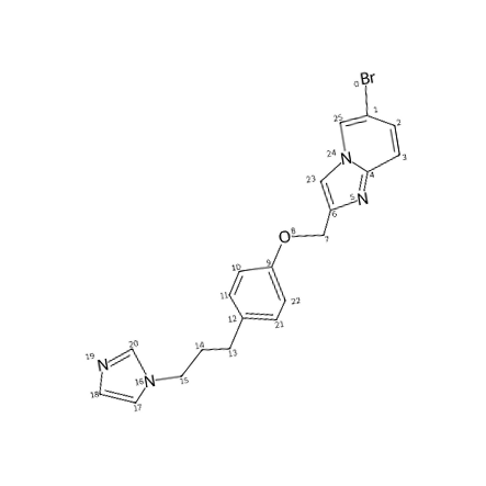 Brc1ccc2nc(COc3ccc(CCCn4ccnc4)cc3)cn2c1